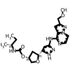 CC[C@@H](C)NC(=O)O[C@H]1CO[C@@H](c2cc(Nc3nccn4nc(COC)cc34)n[nH]2)C1